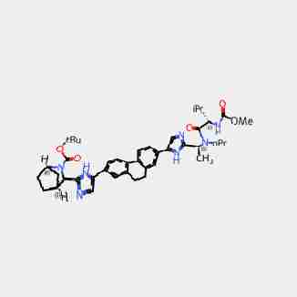 CCCN(C(=O)[C@@H](NC(=O)OC)C(C)C)[C@@H](C)c1ncc(-c2ccc3c(c2)CCc2cc(-c4cnc(C5[C@H]6CC[C@H](C6)N5C(=O)OC(C)(C)C)[nH]4)ccc2-3)[nH]1